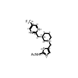 CC(=O)Nc1ncc(CN2CCC[C@H](Cc3ncc(C(F)(F)F)cn3)C2)s1